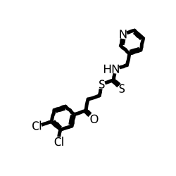 O=C(CCSC(=S)NCc1cccnc1)c1ccc(Cl)c(Cl)c1